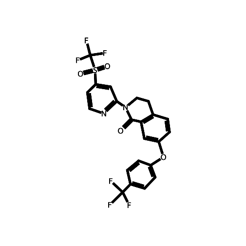 O=C1c2cc(Oc3ccc(C(F)(F)F)cc3)ccc2CCN1c1cc(S(=O)(=O)C(F)(F)F)ccn1